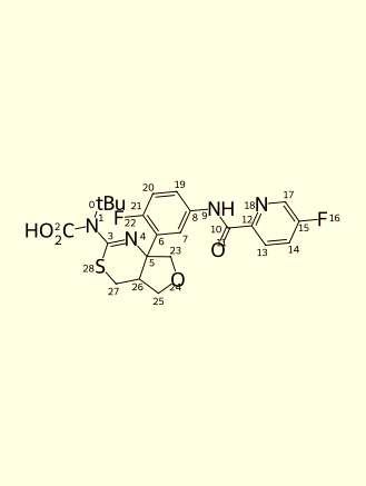 CC(C)(C)N(C(=O)O)C1=NC2(c3cc(NC(=O)c4ccc(F)cn4)ccc3F)COCC2CS1